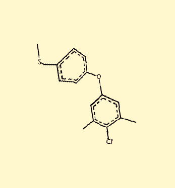 CSc1ccc(Oc2cc(C)c(Cl)c(C)c2)cc1